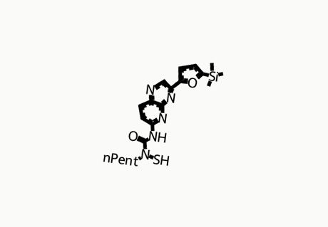 CCCCCN(S)C(=O)Nc1ccc2ncc(-c3ccc([Si](C)(C)C)o3)nc2n1